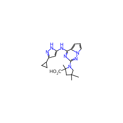 CC1(C)CN(c2nc(Nc3cc(C4CC4)n[nH]3)c3cccn3n2)C(C)(C(=O)O)C1